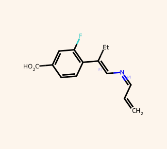 C=C/C=N\C=C(/CC)c1ccc(C(=O)O)cc1F